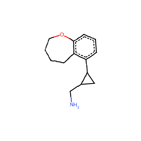 NCC1CC1c1cccc2c1CCCCO2